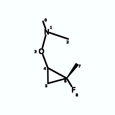 CN(C)OC1C[C@@]1(C)F